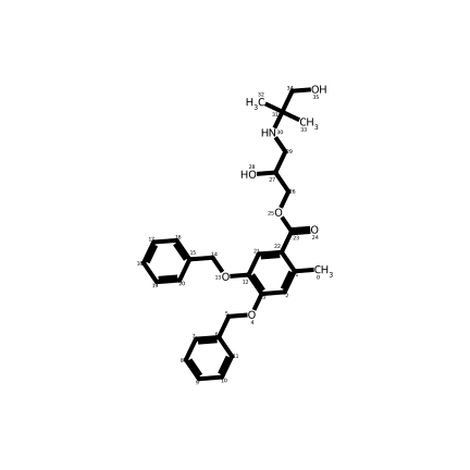 Cc1cc(OCc2ccccc2)c(OCc2ccccc2)cc1C(=O)OCC(O)CNC(C)(C)CO